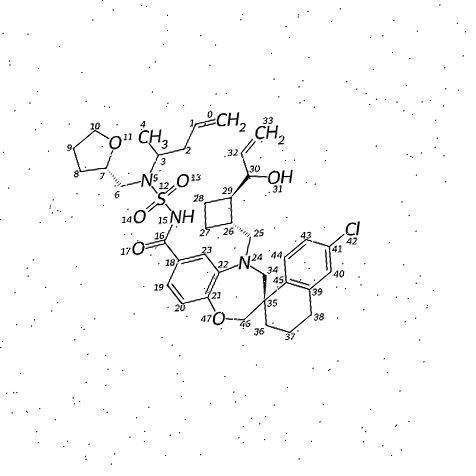 C=CCC(C)N(C[C@@H]1CCCO1)S(=O)(=O)NC(=O)c1ccc2c(c1)N(C[C@@H]1CC[C@H]1C(O)C=C)C[C@@]1(CCCc3cc(Cl)ccc31)CO2